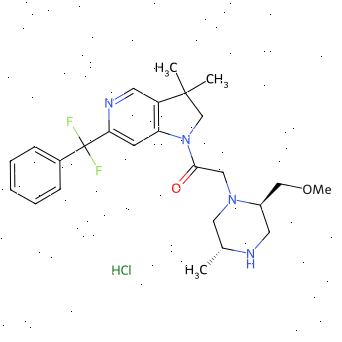 COC[C@H]1CN[C@H](C)CN1CC(=O)N1CC(C)(C)c2cnc(C(F)(F)c3ccccc3)cc21.Cl